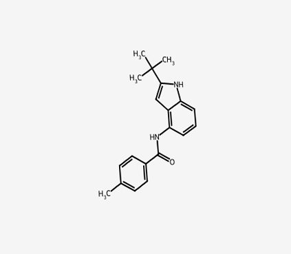 Cc1ccc(C(=O)Nc2cccc3[nH]c(C(C)(C)C)cc23)cc1